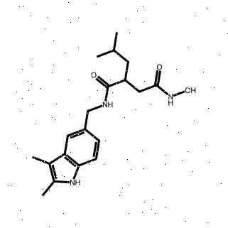 Cc1[nH]c2ccc(CNC(=O)C(CC(=O)NO)CC(C)C)cc2c1C